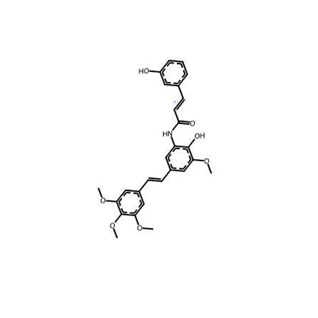 COc1cc(C=Cc2cc(OC)c(OC)c(OC)c2)cc(NC(=O)/C=C/c2cccc(O)c2)c1O